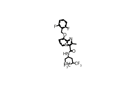 Cc1nc2c(OCc3c(F)cccc3F)cccn2c1C(=O)NC(CO)CC(C(F)(F)F)C(F)(F)F